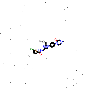 COCc1nc(CNC(=O)c2ccc(Cl)s2)cn1-c1ccc(N2CCN(C)CC2=O)cc1